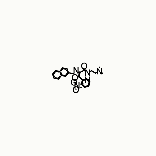 CN(C)CCNC(=O)c1nc(-c2ccc3ccccc3c2)oc1-c1ccccc1[N+](=O)[O-]